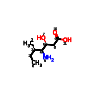 CC[C@H](C)[C@H](N)[C@H](O)CC(=O)O